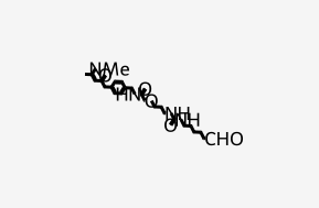 CN/C(C)=C\C(=O)Cc1ccc(CNC(=O)COCCCNC(=O)NCCCCCC=O)cc1